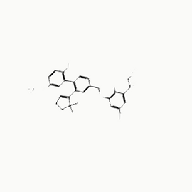 CC[C@@H](CC(=O)O)c1cc(F)cc(OCc2ccc(-c3cc(OC)ccc3F)c(C3=CCCC3(C)C)c2)c1F